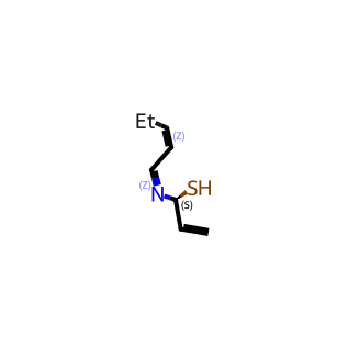 C=C[C@H](S)/N=C\C=C/CC